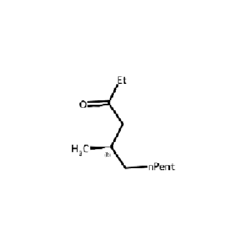 CCCCCC[C@@H](C)CC(=O)CC